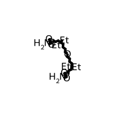 CCC(CC)(CCCCOCCCCC(CC)(CC)CCCS(N)(=O)=O)CCCS(N)(=O)=O